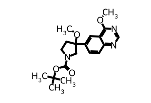 COc1ncnc2ccc(C3(OC)CCN(C(=O)OC(C)(C)C)C3)cc12